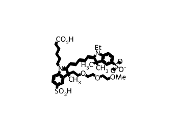 CCN1/C(=C/C=C/C=C/C2=[N+](CCCCCC(=O)O)c3ccc(S(=O)(=O)O)cc3C2(C)CCOCCOCCOC)C(C)(C)c2cc(S(=O)(=O)[O-])ccc21